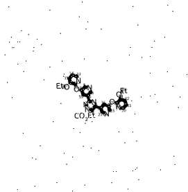 CCOC(=O)c1nnc(-c2cncc(Oc3ncccc3OCC)c2)nc1-c1cncc(Oc2ncccc2OCC)c1